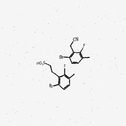 Cc1ccc(Br)c(CC#N)c1F.Cc1ccc(Br)c(CCS(=O)(=O)O)c1F